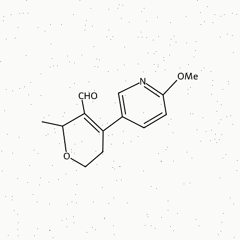 COc1ccc(C2=C(C=O)C(C)OCC2)cn1